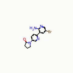 Nc1ncc(Br)cc1-c1ccc(N2CCCC2=O)cn1